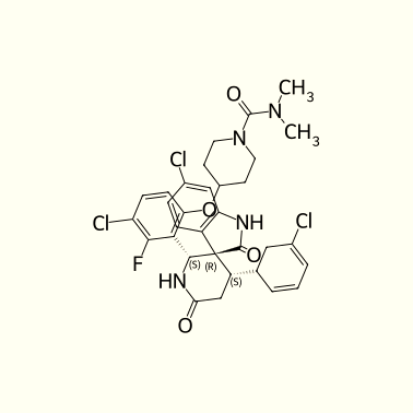 CN(C)C(=O)N1CCC(Oc2ccc(Cl)c(F)c2[C@H]2NC(=O)C[C@@H](C3C=CC=C(Cl)C3)[C@]23C(=O)Nc2cc(Cl)ccc23)CC1